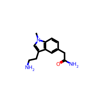 Cn1cc(CCN)c2cc(CC(N)=O)ccc21